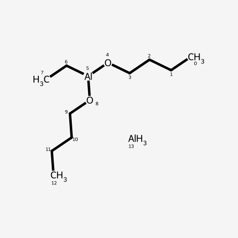 CCCC[O][Al]([CH2]C)[O]CCCC.[AlH3]